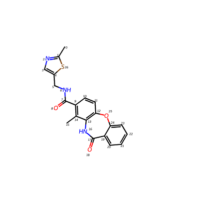 Cc1ncc(CNC(=O)c2ccc3c(c2C)NC(=O)c2ccccc2O3)s1